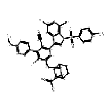 COc1ccc(-c2c(F)c(NC3C4CCC(CC4)C3C(=O)O)nc(-c3cn(S(=O)(=O)c4ccc(C)cc4)c4c(F)cc(F)cc34)c2C#N)cc1